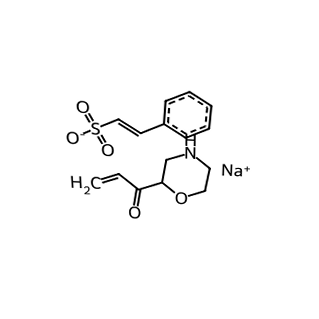 C=CC(=O)C1CNCCO1.O=S(=O)([O-])C=Cc1ccccc1.[Na+]